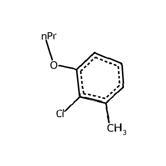 CCCOc1cccc(C)c1Cl